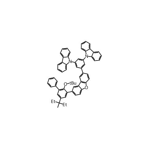 CCC(C)(CC)c1cc(-c2ccccc2)c(OC(C)(C)C)c(-c2ccc3oc4ccc(-c5cc(-n6c7ccccc7c7ccccc76)cc(-n6c7ccccc7c7ccccc76)c5)cc4c3c2)c1